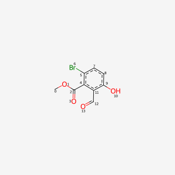 COC(=O)c1c(Br)ccc(O)c1C=O